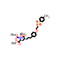 Cc1ccc(S(=O)(=O)OCCOc2ccc(CCC[C@@H](C[C@H](NC(=O)OC(C)(C)C)C(=O)OC(C)(C)C)C(=O)OC(C)(C)C)cc2)cc1